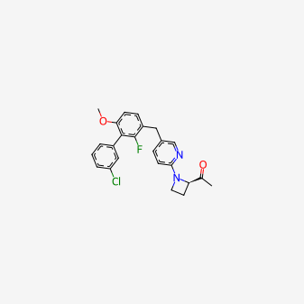 COc1ccc(Cc2ccc(N3CC[C@@H]3C(C)=O)nc2)c(F)c1-c1cccc(Cl)c1